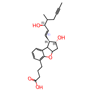 CC#CCC(C)[C@H](O)/C=C/[C@@H]1C2c3cccc(CCCC(=O)O)c3OC2C[C@H]1O